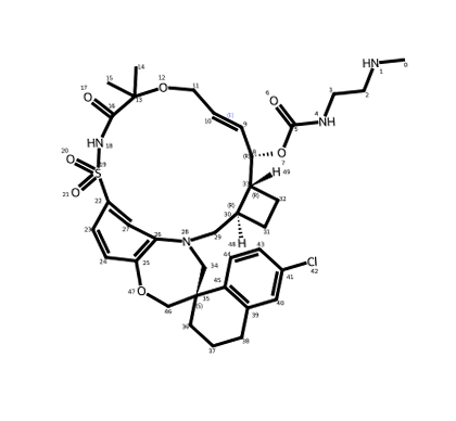 CNCCNC(=O)O[C@H]1/C=C/COC(C)(C)C(=O)NS(=O)(=O)c2ccc3c(c2)N(C[C@@H]2CC[C@H]21)C[C@@]1(CCCc2cc(Cl)ccc21)CO3